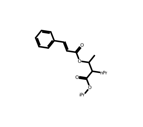 CCCC(C(=O)OC(C)C)C(C)OC(=O)/C=C/c1ccccc1